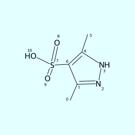 Cc1n[nH]c(C)c1S(=O)(=O)O